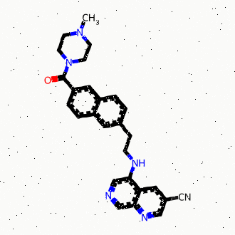 CN1CCN(C(=O)c2ccc3cc(CCNc4cncc5ncc(C#N)cc45)ccc3c2)CC1